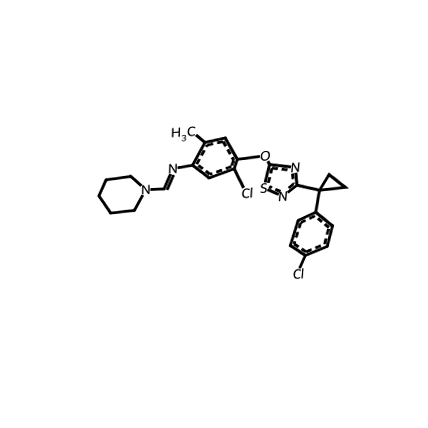 Cc1cc(Oc2nc(C3(c4ccc(Cl)cc4)CC3)ns2)c(Cl)cc1N=CN1CCCCC1